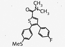 CSc1ccc(-c2sc(C(=O)N(C)C)cc2-c2ccc(F)cc2)cc1